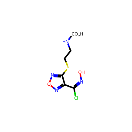 O=C(O)NCCSc1nonc1/C(Cl)=N\O